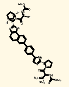 COC(=O)NC(C(=O)N1CCC[C@H]1c1ncc(-c2ccc(-c3ccc4c(ccc5nc([C@@H]6[C@H]7CC[C@H](C7)N6C(=O)[C@@H](NC(=O)OC)C(C)C)[nH]c54)c3)cc2)[nH]1)[C@@H](C)OC